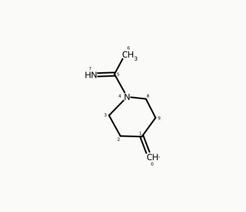 [CH]=C1CCN(C(C)=N)CC1